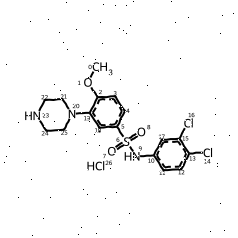 COc1ccc(S(=O)(=O)Nc2ccc(Cl)c(Cl)c2)cc1N1CCNCC1.Cl